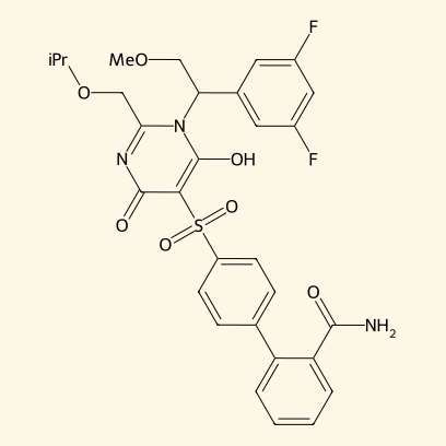 COCC(c1cc(F)cc(F)c1)n1c(COC(C)C)nc(=O)c(S(=O)(=O)c2ccc(-c3ccccc3C(N)=O)cc2)c1O